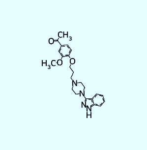 COc1cc(C(C)=O)ccc1OCCCN1CCN(c2n[nH]c3ccccc23)CC1